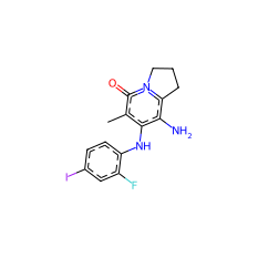 Cc1c(Nc2ccc(I)cc2F)c(N)c2n(c1=O)CCC2